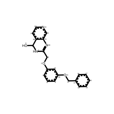 OC1NC(COc2cccc(OCc3ccccc3)c2)=Nc2cnccc21